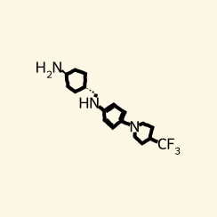 N[C@H]1CC[C@H](CNc2ccc(N3CCC(C(F)(F)F)CC3)cc2)CC1